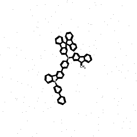 C=C1c2ccccc2-c2ccc(N(c3ccc(-c4ccc5c(c4)c4ccccc4n5-c4ccc(-c5ccccc5)cc4)cc3)c3ccc4c(c3)C3(c5ccccc5-c5ccccc53)c3ccccc3-4)cc21